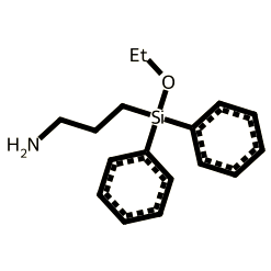 CCO[Si](CCCN)(c1ccccc1)c1ccccc1